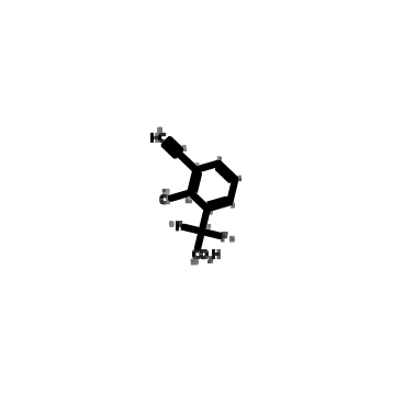 C#Cc1cccc(C(F)(F)C(=O)O)c1Cl